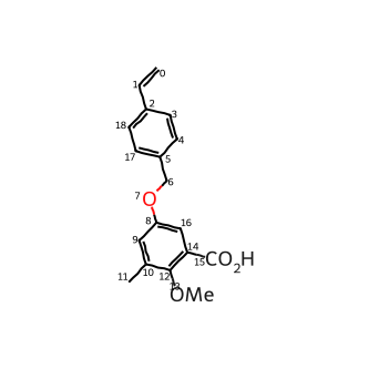 C=Cc1ccc(COc2cc(C)c(OC)c(C(=O)O)c2)cc1